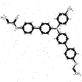 C=COc1ccc(-c2ccc(N(c3ccc(C)cc3)c3ccc(-c4ccc(OC(=O)C=C)cc4)cc3)cc2)cc1